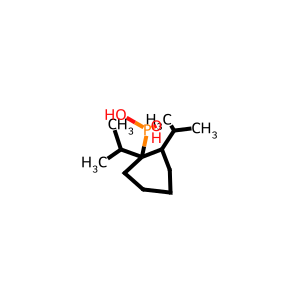 CC(C)C1CCCCC1(C(C)C)P(O)O